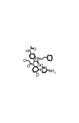 COc1ccc(N(C(=O)CCl)C(C(=O)NCCc2ccccc2)c2ccc(NC(C)=O)cc2)cc1-n1ccc(N)nc1=O